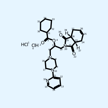 Cl.Cl.O=C(OC(CN1CCN(c2ccccn2)CC1)CN1C(=O)[C@H]2CC=CC[C@H]2C1=O)C1CCCCC1